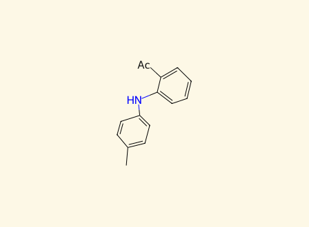 CC(=O)c1ccccc1Nc1ccc(C)cc1